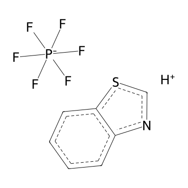 F[P-](F)(F)(F)(F)F.[H+].c1ccc2scnc2c1